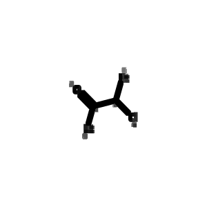 CCC(=O)C(Cl)CC